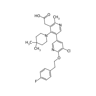 Cc1ncc(-c2cnc(OCCc3ccc(F)cc3)c(Cl)c2)c(N2CCC(C)(C)CC2)c1CC(=O)O